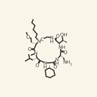 CCCCCCN1CCNC(=O)[C@H]([C@H](C)O)NC(=O)[C@H](CN)NC(=O)[C@H](C2CCCCC2)NC(=O)[C@H](CC(C)C)N(C)C(=O)[C@@H]1CCOC